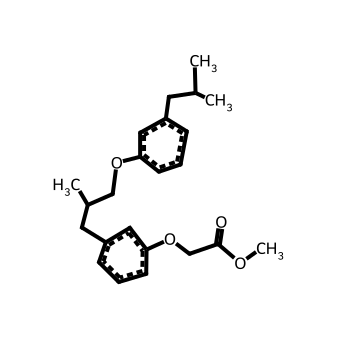 COC(=O)COc1cccc(CC(C)COc2cccc(CC(C)C)c2)c1